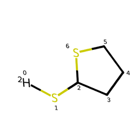 [2H]SC1CCCS1